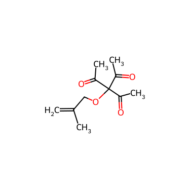 C=C(C)COC(C(C)=O)(C(C)=O)C(C)=O